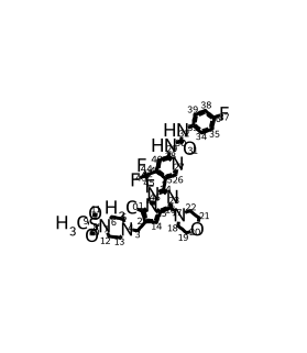 Cc1c(CN2CCN(S(C)(=O)=O)CC2)cc2c(N3CCOCC3)nc(-c3cnc(NC(=O)Nc4ccc(F)cc4)cc3C(F)(F)F)nn12